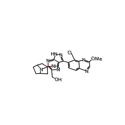 COc1cnc2ccc(-c3n[nH]c4nc(N5C6CCC5CC(N)C6)c(CO)nc34)c(Cl)c2n1